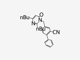 CCCCc1cc(=O)n(Cc2ccc(-c3ccccc3)c(C#N)c2)c(CCCC)n1